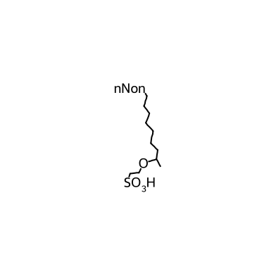 CCCCCCCCCCCCCCCCC(C)OCCS(=O)(=O)O